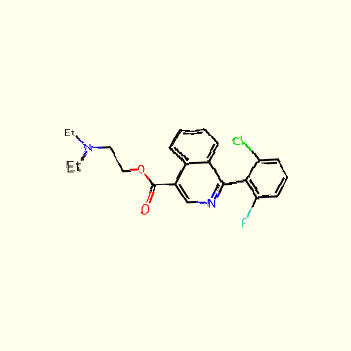 CCN(CC)CCOC(=O)c1cnc(-c2c(F)cccc2Cl)c2ccccc12